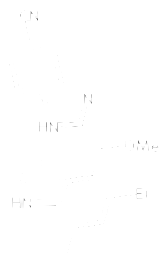 CCc1cc(C)c2[nH]ccc2c1C(OC)c1nc2cc(C#N)ccc2[nH]1